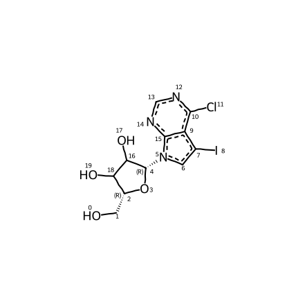 OC[C@H]1O[C@@H](n2cc(I)c3c(Cl)ncnc32)C(O)C1O